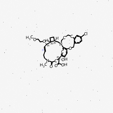 COCCO[C@H]1/C=C/CCN(C)C(=O)C[C@](O)(C(=O)O)c2ccc3c(c2)N(CCCCc2cc(Cl)ccc2CO3)C[C@@H]2CC[C@H]21